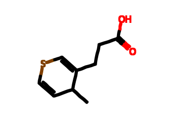 CC1C=CSC=C1CCC(=O)O